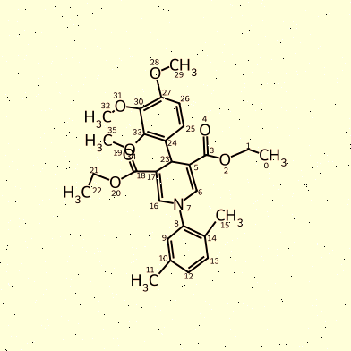 CCOC(=O)C1=CN(c2cc(C)ccc2C)C=C(C(=O)OCC)C1c1ccc(OC)c(OC)c1OC